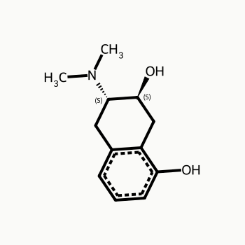 CN(C)[C@H]1Cc2cccc(O)c2C[C@@H]1O